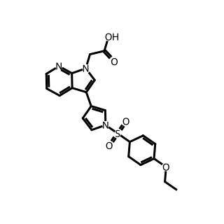 CCOC1=CCC(S(=O)(=O)n2ccc(-c3cn(CC(=O)O)c4ncccc34)c2)C=C1